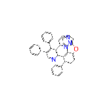 c1ccc(-c2cnc(-c3c(-c4ccccc4)ccc4oc5ccccc5c34)c(-c3ccnnn3)c2-c2ccccc2)cc1